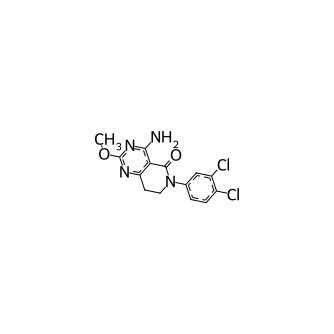 COc1nc(N)c2c(n1)CCN(c1ccc(Cl)c(Cl)c1)C2=O